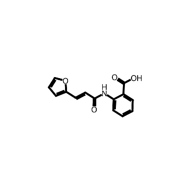 O=C(/C=C/c1ccco1)Nc1ccccc1C(=O)O